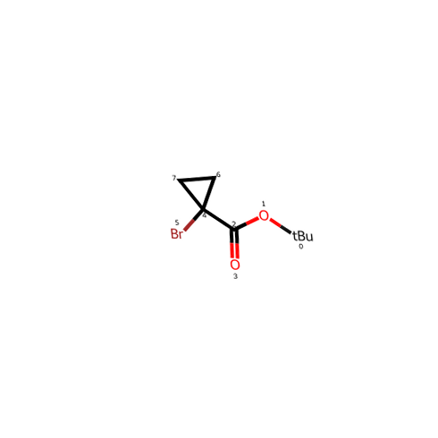 CC(C)(C)OC(=O)C1(Br)CC1